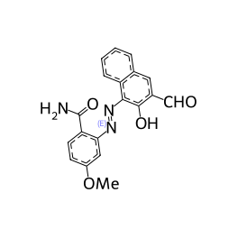 COc1ccc(C(N)=O)c(/N=N/c2c(O)c(C=O)cc3ccccc23)c1